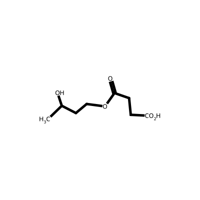 CC(O)CCOC(=O)CCC(=O)O